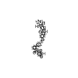 CN1CCC[C@@H]1c1[nH]c2cc(NC(=O)c3ccc(OCCC4CCN(c5cccc6c5CN(C5CCC(=O)NC5=O)C6=O)CC4)cc3F)ncc2c1Cl